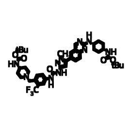 Cn1nc(NC(=O)Nc2ccc(CN3CCC(NC(=O)OC(C)(C)C)CC3)c(C(F)(F)F)c2)cc1-c1ccc2nc(N[C@H]3CC[C@H](NC(=O)OC(C)(C)C)CC3)ncc2c1